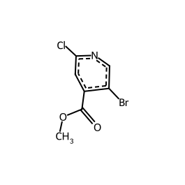 COC(=O)c1cc(Cl)ncc1Br